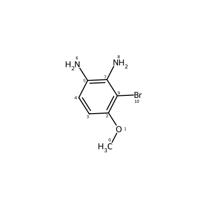 COc1ccc(N)c(N)c1Br